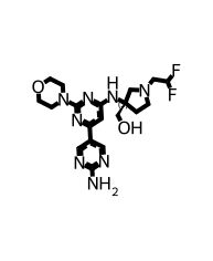 Nc1ncc(-c2cc(N[C@@]3(CO)CCN(CC(F)F)C3)nc(N3CCOCC3)n2)cn1